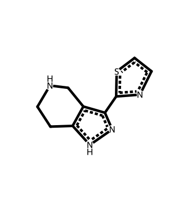 c1csc(-c2n[nH]c3c2CNCC3)n1